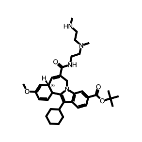 CNCCN(C)CCNC(=O)C1=C[C@H]2C=C(OC)C=CC2c2c(C3CCCCC3)c3ccc(C(=O)OC(C)(C)C)cc3n2C1